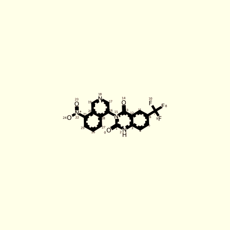 O=c1[nH]c2ccc(C(F)(F)F)cc2c(=O)n1-c1cncc2c([N+](=O)[O-])cccc12